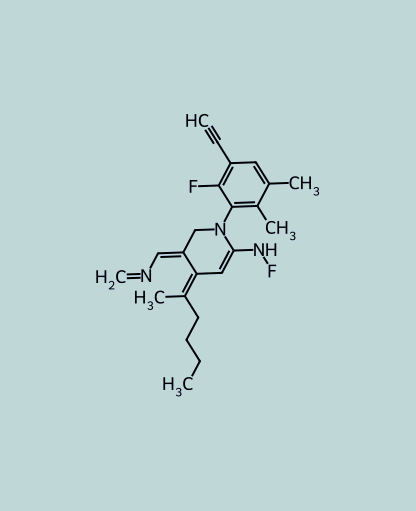 C#Cc1cc(C)c(C)c(N2CC(=C/N=C)/C(=C(\C)CCCC)C=C2NF)c1F